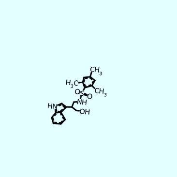 Cc1cc(C)c(S(=O)(=O)NCC(CO)c2c[nH]c3ccccc23)c(C)c1